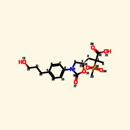 CC(C[C@H]1CN(c2ccc(CCCO)cc2)C(=O)O1)(C(=O)O)S(C)(=O)=O